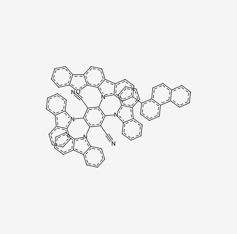 N#Cc1c(-n2c3ccccc3c3ccccc32)c(-n2c3ccccc3c3ccccc32)c(C#N)c(-n2c3cc(-c4cccc5c4ccc4ccccc45)ccc3c3ccc4c5ccccc5oc4c32)c1-n1c2ccccc2c2ccccc21